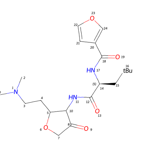 CN(C)CCC1OCC(=O)C1NC(=O)[C@H](CC(C)(C)C)NC(=O)c1ccoc1